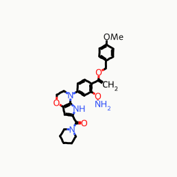 C=C(OCc1ccc(OC)cc1)c1ccc(N2CCOc3cc(C(=O)N4CCCCC4)[nH]c32)cc1ON